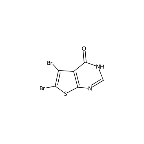 O=c1[nH]cnc2sc(Br)c(Br)c12